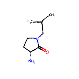 CC(C)CN1CC[C@@H](N)C1=O